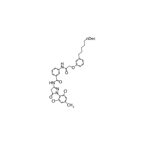 CCCCCCCCCCCCCCCc1cccc(OCC(=O)Nc2cccc(C(=O)NC3=NN(c4c(Cl)cc(C)cc4Cl)C(=O)C3)c2)c1